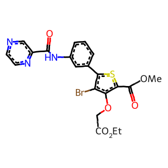 CCOC(=O)COc1c(C(=O)OC)sc(-c2cccc(NC(=O)c3cnccn3)c2)c1Br